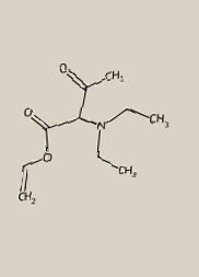 C=COC(=O)C(C(C)=O)N(CC)CC